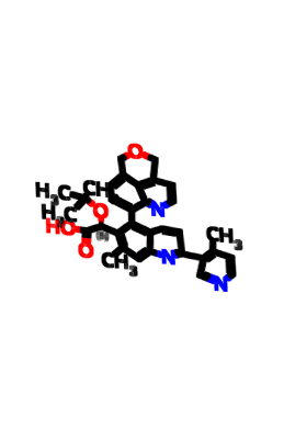 Cc1ccncc1-c1ccc2c(-c3ccc4c5c(ccnc35)COC4)c([C@H](OC(C)(C)C)C(=O)O)c(C)cc2n1